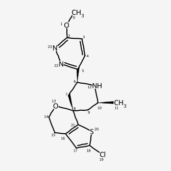 COc1ccc([C@@H]2C[C@]3(C[C@H](C)N2)OCCc2cc(Cl)sc23)nn1